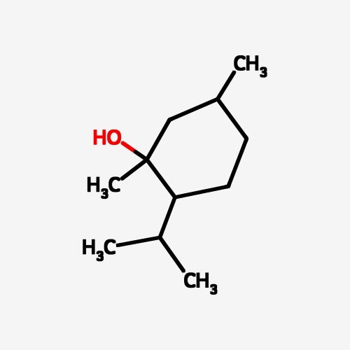 CC1CCC(C(C)C)C(C)(O)C1